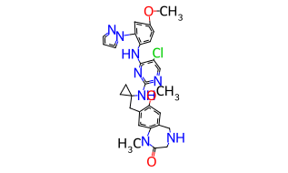 COc1ccc(Nc2nc(NC3(Cc4cc5c(cc4OC)CNCC(=O)N5C)CC3)ncc2Cl)c(-n2cccn2)c1